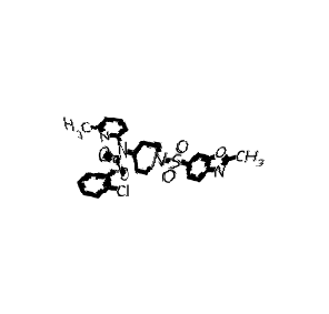 Cc1cccc(N(C2CCN(S(=O)(=O)c3ccc4nc(C)oc4c3)CC2)S(=O)(=O)c2ccccc2Cl)n1